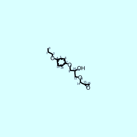 CCCOc1ccc(OCC(O)COCC2CO2)cc1